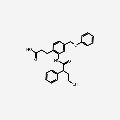 CCCC(C(=O)Nc1cc(COc2ccccc2)ccc1CCC(=O)O)c1ccccc1